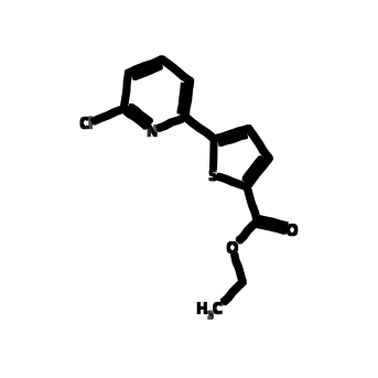 CCOC(=O)c1ccc(-c2cccc(Cl)n2)s1